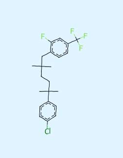 CC(C)(CCC(C)(C)c1ccc(Cl)cc1)Cc1ccc(C(F)(F)F)cc1F